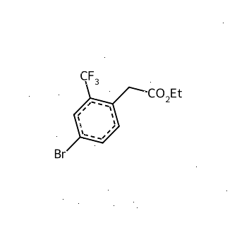 CCOC(=O)Cc1ccc(Br)cc1C(F)(F)F